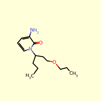 CCCOCCC(CCC)n1cccc(N)c1=O